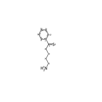 NCCCCC(=S)c1ccccc1